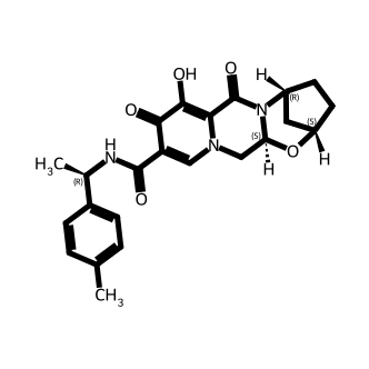 Cc1ccc([C@@H](C)NC(=O)c2cn3c(c(O)c2=O)C(=O)N2[C@@H]4CC[C@@H](C4)O[C@H]2C3)cc1